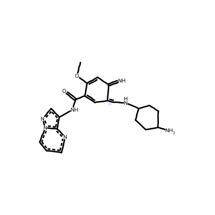 COC1=CC(=N)/C(=C\NC2CCC(N)CC2)C=C1C(=O)Nc1cnn2cccnc12